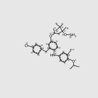 CC(C)Oc1ccc(Nc2ccc(OC(C)CC(C)(O[SiH3])C(C)(C)C)cc2Cc2ccc(Cl)cc2)cc1F